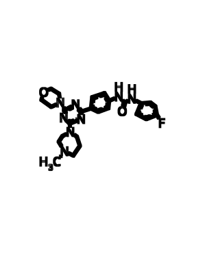 CN1CCCN(c2nc(-c3ccc(NC(=O)Nc4ccc(F)cc4)cc3)nc(N3CCOCC3)n2)CC1